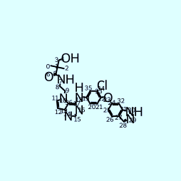 CC(C)(CO)C(=O)NCCn1ccc2ncnc(Nc3ccc(Oc4ccc5cn[nH]c5c4)c(Cl)c3)c21